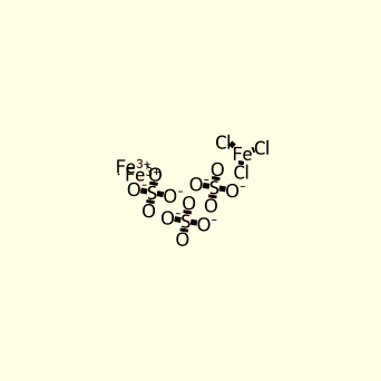 O=S(=O)([O-])[O-].O=S(=O)([O-])[O-].O=S(=O)([O-])[O-].[Cl][Fe]([Cl])[Cl].[Fe+3].[Fe+3]